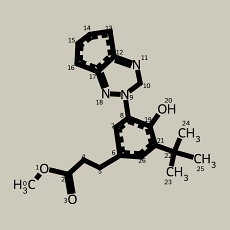 COC(=O)CCc1cc(N2CN=c3ccccc3=N2)c(O)c(C(C)(C)C)c1